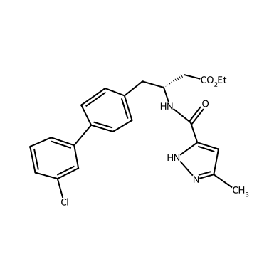 CCOC(=O)C[C@@H](Cc1ccc(-c2cccc(Cl)c2)cc1)NC(=O)c1cc(C)n[nH]1